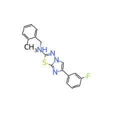 Cc1ccccc1CNc1nn2cc(-c3cccc(F)c3)nc2s1